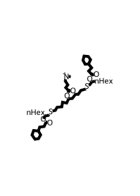 CCCCCCC(CSCCCCCC(CCCCCSCC(CCCCCC)OC(=O)CCC1CCCCC1)OC(=O)CCCN(C)C)OC(=O)CCC1CCCCC1